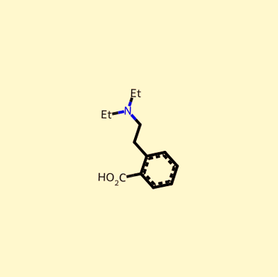 CCN(CC)CCc1ccccc1C(=O)O